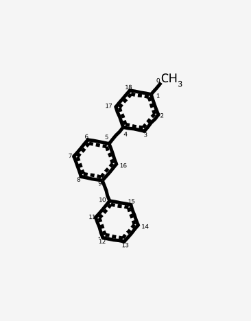 Cc1ccc(-c2cccc(-c3c[c]ccc3)c2)cc1